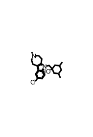 CC1CC(C)CC(O)(Cn2c3c(c4cc(Cl)ccc42)CCN(C)CC3)C1